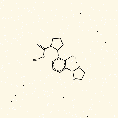 CC(C)(C)OC(=O)N1CCCC1c1cccc(C2OCCO2)c1N